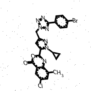 Cc1cc(Cl)cc2c(=O)oc(-c3cc(Cn4nnc(-c5ccc(Br)cc5)n4)nn3C3CC3)nc12